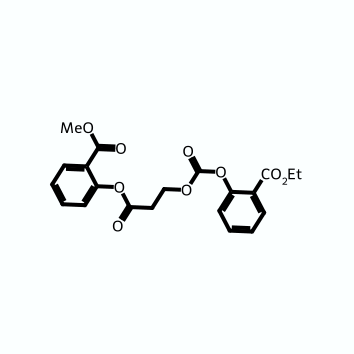 CCOC(=O)c1ccccc1OC(=O)OCCC(=O)Oc1ccccc1C(=O)OC